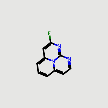 FC1=CC2=CC=CC3=CC=NC(=N1)N32